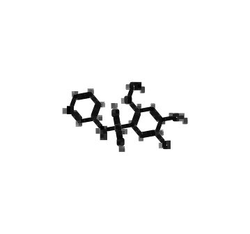 COc1cc(C)c(Cl)cc1S(=O)(=O)Nc1cccnc1